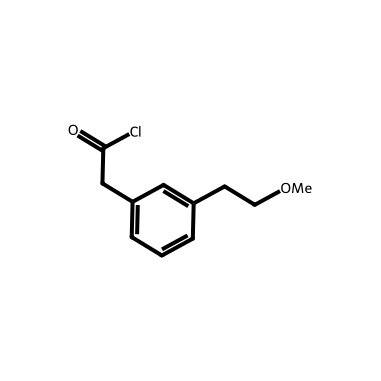 COCCc1cccc(CC(=O)Cl)c1